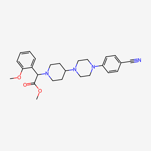 COC(=O)C(c1ccccc1OC)N1CCC(N2CCN(c3ccc(C#N)cc3)CC2)CC1